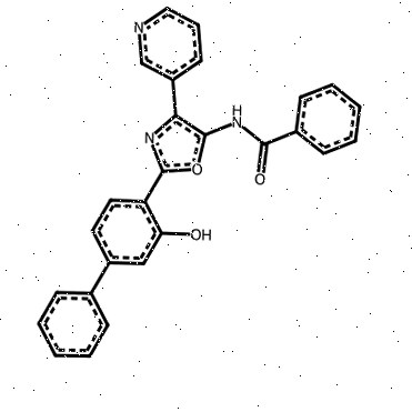 O=C(Nc1oc(-c2ccc(-c3ccccc3)cc2O)nc1-c1cccnc1)c1ccccc1